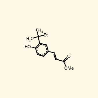 CCC(C)(C)c1cc(C=CC(=O)OC)ccc1O